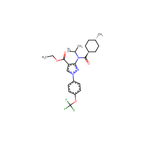 CCOC(=O)c1cn(-c2ccc(OC(F)(F)F)cc2)nc1N(C(=O)[C@H]1CC[C@H](C)CC1)C(C)C